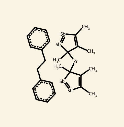 C[C]1=C(C)[C](C)([Zr][C]2(C)[Sb]=[Sb][C](C)=C2C)[Sb]=[Sb]1.c1ccc(CCc2ccccc2)cc1